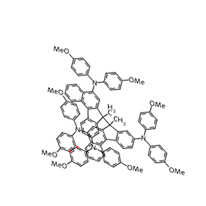 COc1ccc(N(c2ccc(OC)cc2)c2ccc3c(c2)C(C)(C2(C)c4cc(N(c5ccc(OC)cc5)c5ccc(OC)cc5)ccc4-c4c2cc(N(c2ccc(OC)cc2)c2ccc(OC)cc2)c2ccccc42)c2cc(N(c4ccc(OC)cc4)c4ccc(OC)cc4)c4ccccc4c2-3)cc1